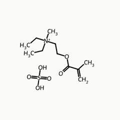 C=C(C)C(=O)OCC[N+](C)(CC)CC.O=S(=O)(O)O